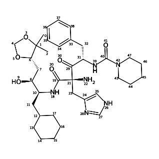 CC1(C)OCO[C@H]1C[C@H](O)[C@H](CC1CCCCC1)NC(=O)[C@@](N)(Cc1c[nH]cn1)C(=O)[C@H](Cc1ccccc1)NC(=O)N1CCCCC1